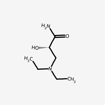 CCN(CC)C[C@H](O)C(N)=O